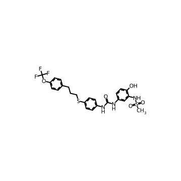 CS(=O)(=O)Nc1cc(NC(=O)Nc2ccc(SCCCc3ccc(OC(F)(F)F)cc3)cc2)ccc1O